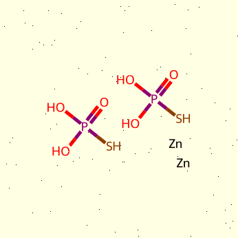 O=P(O)(O)S.O=P(O)(O)S.[Zn].[Zn]